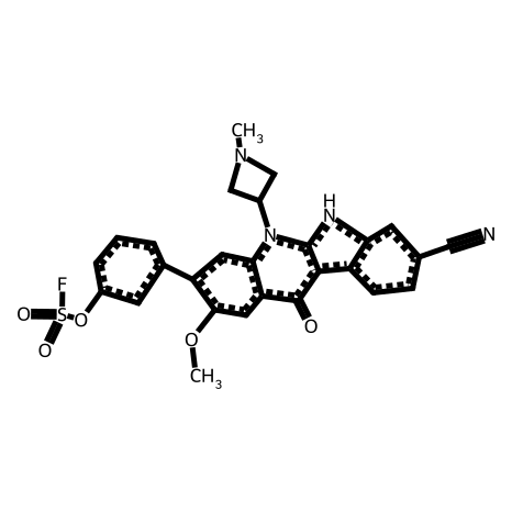 COc1cc2c(=O)c3c4ccc(C#N)cc4[nH]c3n(C3CN(C)C3)c2cc1-c1cccc(OS(=O)(=O)F)c1